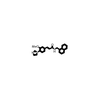 COc1cc(C=CC(=O)NCc2cccc3ccccc23)ccc1-n1ccnc1